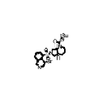 CC(C)(C)OC(=O)N1CCC[C@@H]2CN(S(=O)(=O)c3cccc4cncc(Br)c34)C[C@@H]21